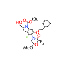 COC(=O)CN(C(=O)C(F)(F)F)c1c(OCCc2ccccc2)cc2c(c1F)C[C@@H](CO)N2C(=O)OC(C)(C)C